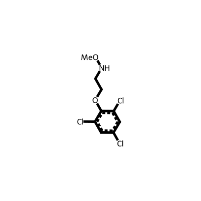 CONCCOc1c(Cl)cc(Cl)cc1Cl